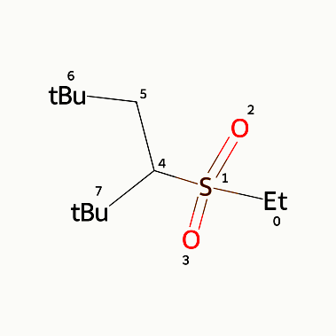 CCS(=O)(=O)C(CC(C)(C)C)C(C)(C)C